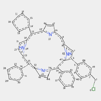 ClCc1ccc(-c2cc3cc4nc(c(-c5ccccc5)c5ccc([nH]5)c(-c5ccccc5)c5nc(c(-c6ccccc6)c2[nH]3)C=C5)C=C4)cc1